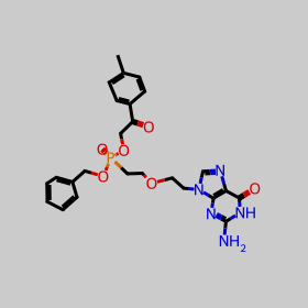 Cc1ccc(C(=O)COP(=O)(CCOCCn2cnc3c(=O)[nH]c(N)nc32)OCc2ccccc2)cc1